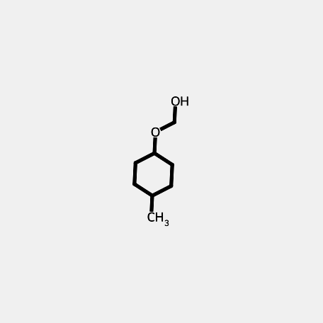 CC1CCC(OCO)CC1